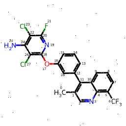 Cc1cnc2c(C(F)(F)F)cccc2c1-c1cccc(Oc2nc(F)c(Cl)c(N)c2Cl)c1